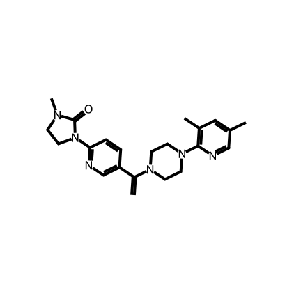 C=C(c1ccc(N2CCN(C)C2=O)nc1)N1CCN(c2ncc(C)cc2C)CC1